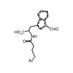 CC(=O)SCCC(=O)NC(Cc1cn(C=O)c2ccccc12)C(=O)O